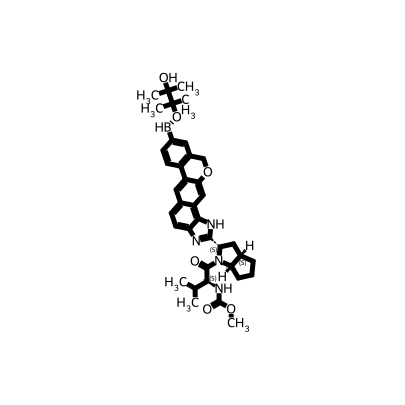 COC(=O)N[C@H](C(=O)N1[C@H](c2nc3ccc4cc5c(cc4c3[nH]2)OCc2cc(BOC(C)(C)C(C)(C)O)ccc2-5)C[C@@H]2CCC[C@@H]21)C(C)C